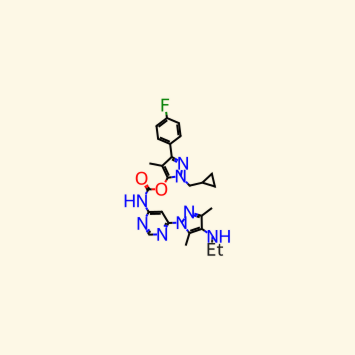 CCNc1c(C)nn(-c2cc(NC(=O)Oc3c(C)c(-c4ccc(F)cc4)nn3CC3CC3)ncn2)c1C